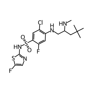 CNC(CNc1cc(F)c(S(=O)(=O)Nc2ncc(F)s2)cc1Cl)CC(C)(C)C